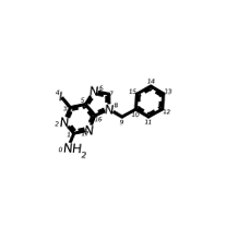 Nc1nc(I)c2ncn(Cc3ccccc3)c2n1